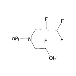 CCCN(CCO)CC(F)(F)C(F)F